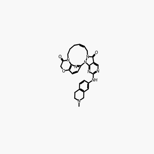 CN1CCc2ccc(Nc3ncc4c(=O)n5n(c4n3)-c3ccc4c(n3)N(CCC/C=C\C5)C(=O)CO4)cc2C1